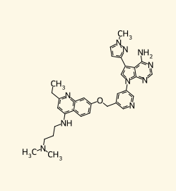 CCc1cc(NCCCN(C)C)c2ccc(OCc3cncc(-n4cc(-c5ccn(C)n5)c5c(N)ncnc54)c3)cc2n1